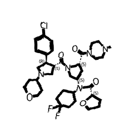 CN1CCN(C(=O)[C@@H]2C[C@H](N(C(=O)[C@@H]3CCCO3)C3CCC(F)(F)CC3)CN2C(=O)[C@@H]2CN(C3CCOCC3)C[C@H]2c2ccc(Cl)cc2)CC1